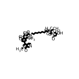 COc1cc(-c2cn(C)c(=O)c3cnccc23)cc(OC)c1CN(C)CC(=O)NCCCCCCCCCC(=O)N[C@@H](C(=O)N1C[C@@H](O)C[C@@H]1C=O)C(C)(C)C